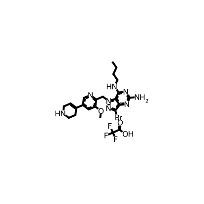 CCCCNc1nc(N)nc2c(Br)nn(Cc3ncc(C4=CCNCC4)cc3OC)c12.O=C(O)C(F)(F)F